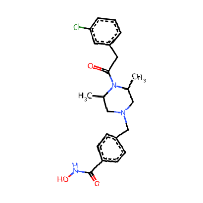 CC1CN(Cc2ccc(C(=O)NO)cc2)CC(C)N1C(=O)Cc1cccc(Cl)c1